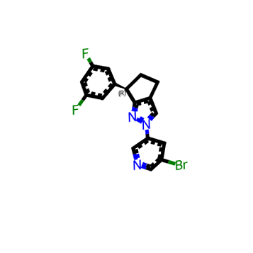 Fc1cc(F)cc([C@H]2CCc3cn(-c4cncc(Br)c4)nc32)c1